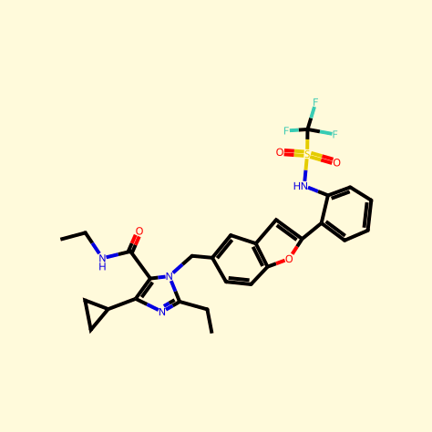 CCNC(=O)c1c(C2CC2)nc(CC)n1Cc1ccc2oc(-c3ccccc3NS(=O)(=O)C(F)(F)F)cc2c1